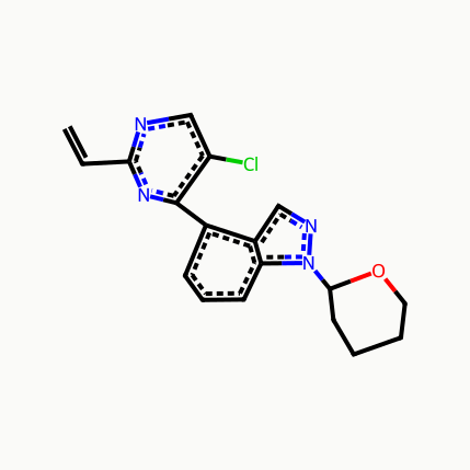 C=Cc1ncc(Cl)c(-c2cccc3c2cnn3C2CCCCO2)n1